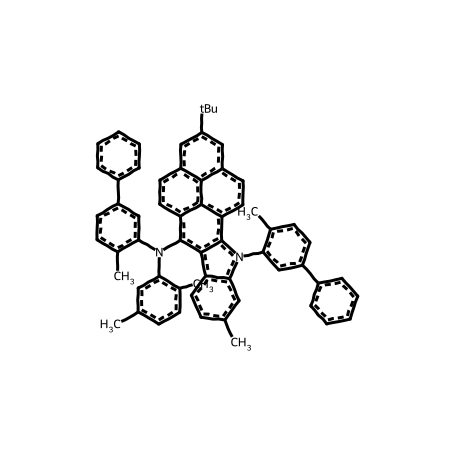 Cc1ccc(C)c(N(c2cc(-c3ccccc3)ccc2C)c2c3ccc4cc(C(C)(C)C)cc5ccc(c3c45)c3c2c2ccc(C)cc2n3-c2cc(-c3ccccc3)ccc2C)c1